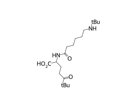 CC(C)(C)NCCCCCC(=O)NC(CCC(=O)C(C)(C)C)C(=O)O